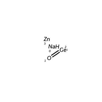 [NaH].[O]=[Ge].[Zn]